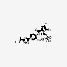 CCc1c(Cl)nc(C(=O)N[C@@H]2CCN(c3nnc([C@H](C)O)s3)C[C@@H]2OC)n1COP(=O)(O)O